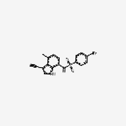 C#Cc1c[nH]c2c(NS(=O)(=O)c3ccc(C(C)C)cc3)ccc(C)c12